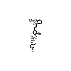 COc1ccccc1C(=O)/C=C/c1ccc(OC(=O)COc2ccc(Cl)cc2C)c(Br)c1